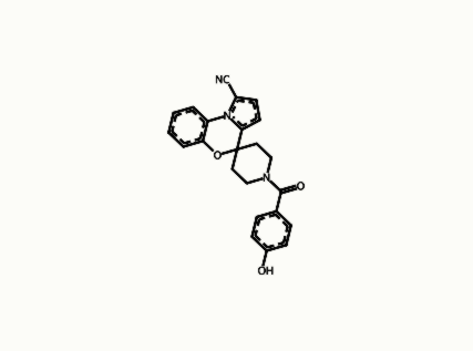 N#Cc1ccc2n1-c1ccccc1OC21CCN(C(=O)c2ccc(O)cc2)CC1